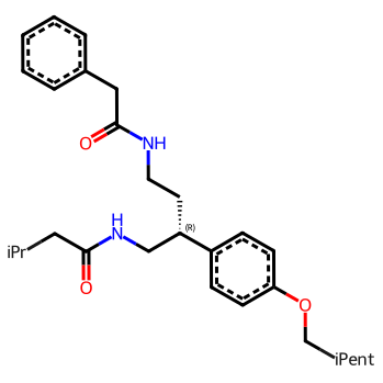 CCCC(C)COc1ccc([C@@H](CCNC(=O)Cc2ccccc2)CNC(=O)CC(C)C)cc1